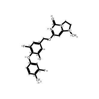 CN1CCn2c1cc(OCc1cc(F)c(Oc3ccc(C(F)(F)F)c(F)c3)c(F)c1)nc2=O